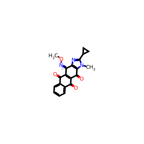 CO/N=c1/c2c(=O)c3ccccc3c(=O)c=2c(=O)c2c1nc(C1CC1)n2C